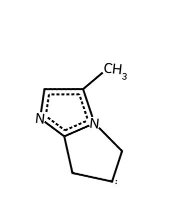 Cc1cnc2n1C[C]C2